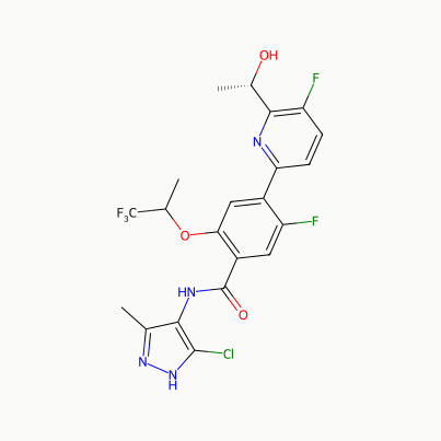 Cc1n[nH]c(Cl)c1NC(=O)c1cc(F)c(-c2ccc(F)c([C@H](C)O)n2)cc1OC(C)C(F)(F)F